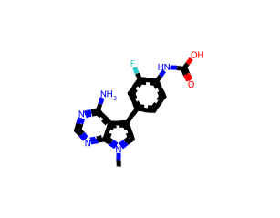 Cn1cc(-c2ccc(NC(=O)O)c(F)c2)c2c(N)ncnc21